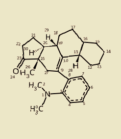 CN(C)c1ccccc1C1=C2[C@H]3CCCCC3CC[C@H]2[C@@H]2CCC(=O)[C@@]2(C)C1